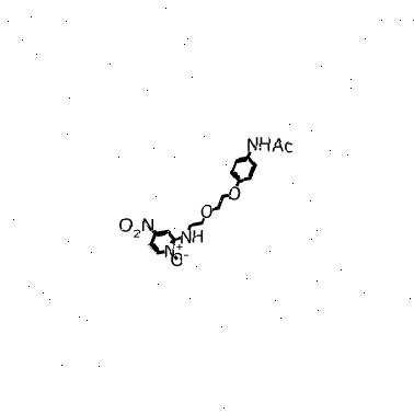 CC(=O)Nc1ccc(OCCOCCNc2cc([N+](=O)[O-])cc[n+]2[O-])cc1